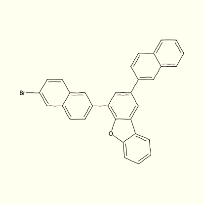 Brc1ccc2cc(-c3cc(-c4ccc5ccccc5c4)cc4c3oc3ccccc34)ccc2c1